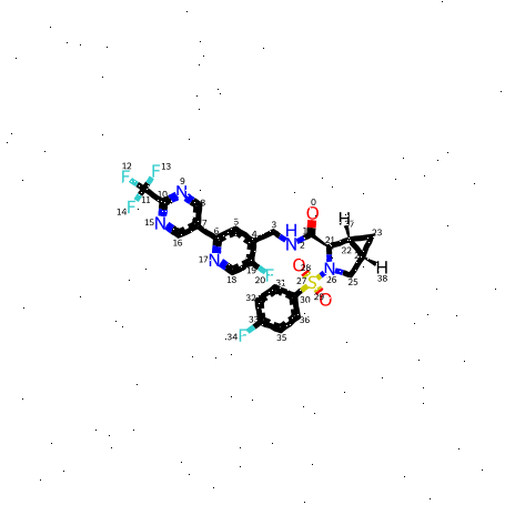 O=C(NCc1cc(-c2cnc(C(F)(F)F)nc2)ncc1F)[C@H]1[C@@H]2C[C@@H]2CN1S(=O)(=O)c1ccc(F)cc1